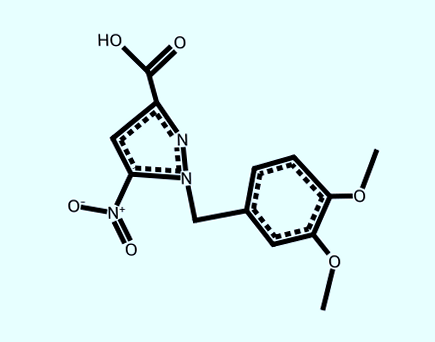 COc1ccc(Cn2nc(C(=O)O)cc2[N+](=O)[O-])cc1OC